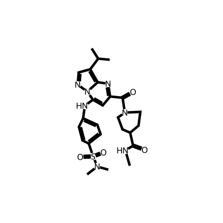 CNC(=O)C1CCN(C(=O)c2cc(Nc3ccc(S(=O)(=O)N(C)C)cc3)n3ncc(C(C)C)c3n2)CC1